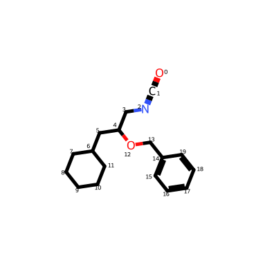 O=C=NCC(CC1CCCCC1)OCc1ccccc1